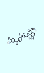 CN(CC1(F)CCN(C(=O)c2ccc(F)c(Cl)c2)CC1)C1CNc2cccc(C(N)=O)c2O1